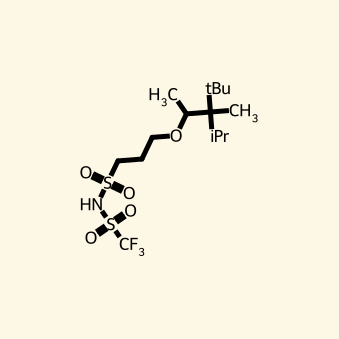 CC(C)C(C)(C(C)OCCCS(=O)(=O)NS(=O)(=O)C(F)(F)F)C(C)(C)C